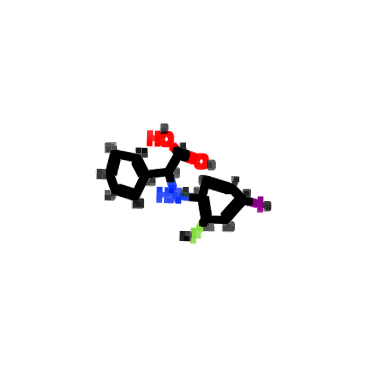 O=C(O)C(Nc1ccc(I)cc1F)c1ccccc1